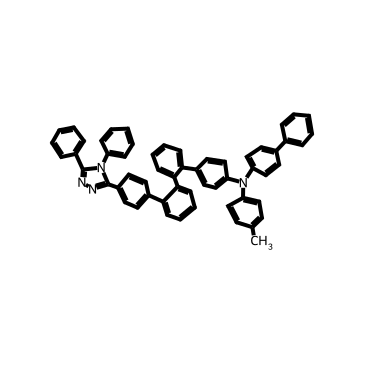 Cc1ccc(N(c2ccc(-c3ccccc3)cc2)c2ccc(-c3ccccc3-c3ccccc3-c3ccc(-c4nnc(-c5ccccc5)n4-c4ccccc4)cc3)cc2)cc1